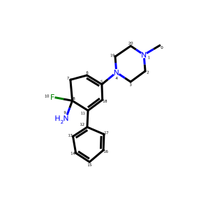 CN1CCN(C2=CCC(N)(F)C(c3ccccc3)=C2)CC1